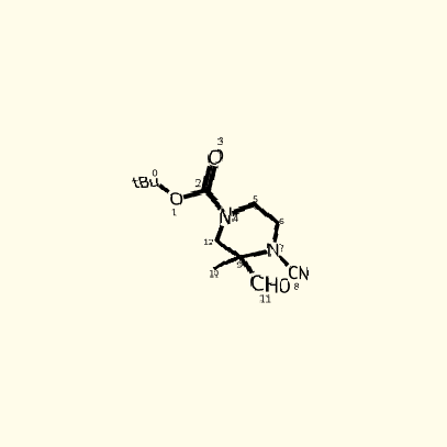 CC(C)(C)OC(=O)N1CCN(C#N)C(C)(C=O)C1